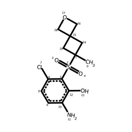 CC1(S(=O)(=O)c2c(Cl)ccc(N)c2O)CC2(COC2)C1